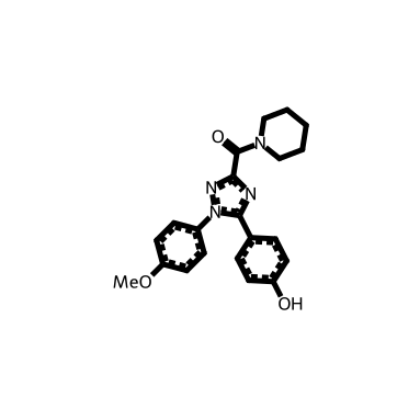 COc1ccc(-n2nc(C(=O)N3CCCCC3)nc2-c2ccc(O)cc2)cc1